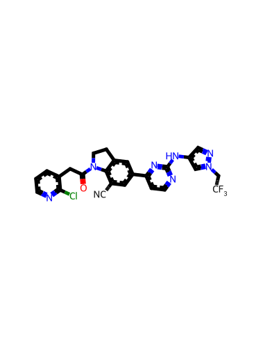 N#Cc1cc(-c2ccnc(Nc3cnn(CC(F)(F)F)c3)n2)cc2c1N(C(=O)Cc1cccnc1Cl)CC2